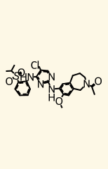 COc1cc2c(cc1Nc1ncc(Cl)c(Nc3ccccc3S(=O)(=O)C(C)C)n1)CCCN(C(C)=O)C2